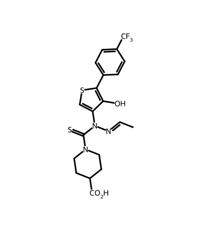 CC=NN(C(=S)N1CCC(C(=O)O)CC1)c1csc(-c2ccc(C(F)(F)F)cc2)c1O